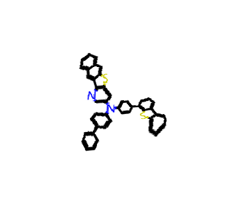 c1ccc(-c2ccc(N(c3ccc(-c4cccc5c4sc4ccccc45)cc3)c3cnc4c(c3)sc3cc5ccccc5cc34)cc2)cc1